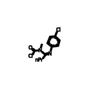 CCCC(=Nc1ccc(Cl)cc1)N(C)C(=O)Cl